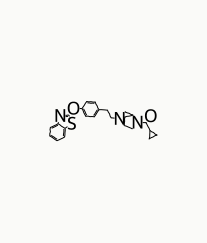 O=C(C1CC1)N1CC2CC1CN2CCc1ccc(Oc2nc3ccccc3s2)cc1